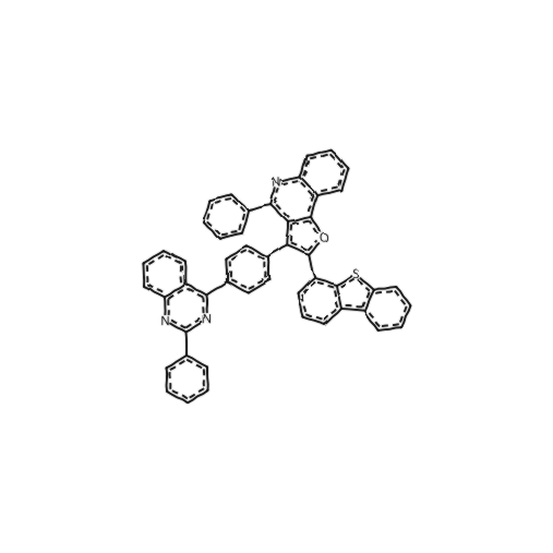 c1ccc(-c2nc(-c3ccc(-c4c(-c5cccc6c5sc5ccccc56)oc5c4c(-c4ccccc4)nc4ccccc45)cc3)c3ccccc3n2)cc1